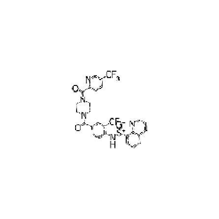 O=C(c1ccc(N[S+]([O-])c2cccc3cccnc23)c(C(F)(F)F)c1)N1CCN(C(=O)c2ccc(C(F)(F)F)cn2)CC1